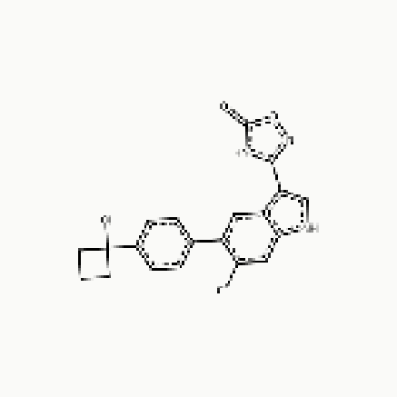 O=c1[nH]c(-c2c[nH]c3cc(Cl)c(-c4ccc(C5(O)CCC5)cc4)cc23)no1